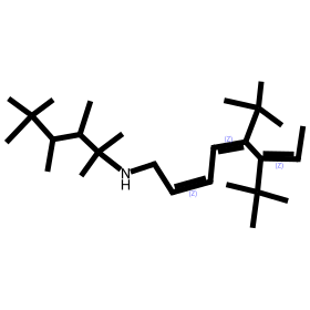 C\C=C(/C(=C\C=C/CNC(C)(C)C(C)C(C)C(C)(C)C)C(C)(C)C)C(C)(C)C